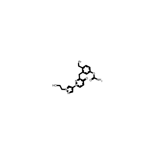 CC(C)Cc1ccc(OC(N)=O)cc1Cc1nn(-c2cnn(CCO)c2)ccc1=O